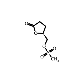 CS(=O)(=O)OC[C@@H]1CCC(=O)O1